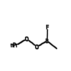 CCCOOB(C)F